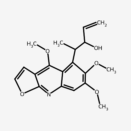 C=CC(O)C(C)c1c(OC)c(OC)cc2nc3occc3c(OC)c12